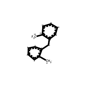 [CH2]c1ccccc1Cc1ccccc1C(F)(F)F